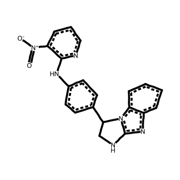 O=[N+]([O-])c1cccnc1Nc1ccc(C2CNc3nc4ccccc4n32)cc1